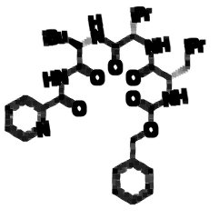 CC[C@H](C)[C@H](NC(=O)[C@@H](NC(=O)[C@H](CC(C)C)NC(=O)OCc1ccccc1)C(C)C)C(=O)NC(=O)c1ccccn1